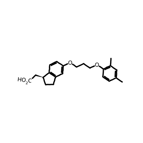 Cc1ccc(OCCCOc2ccc3c(c2)CC[C@H]3CC(=O)O)c(C)c1